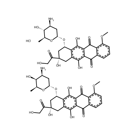 COc1cccc2c1C(=O)c1c(O)c3c(c(O)c1C2=O)C[C@@](O)(C(=O)CO)C[C@@H]3O[C@H]1C[C@H](N)[C@@H](O)[C@H](C)O1.COc1cccc2c1C(=O)c1c(O)c3c(c(O)c1C2=O)C[C@@](O)(C(=O)CO)C[C@@H]3O[C@H]1C[C@H](N)[C@H](O)[C@H](C)O1.Cl